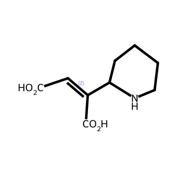 O=C(O)/C=C(\C(=O)O)C1CCCCN1